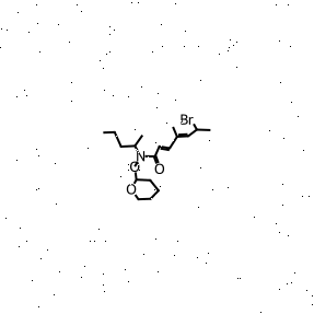 CCCC(C)N(OC1CCCCO1)C(=O)/C=C/C(C)=C/C(C)Br